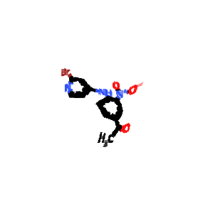 CC(=O)c1ccc(Nc2ccnc(Br)c2)c([N+](=O)[O-])c1